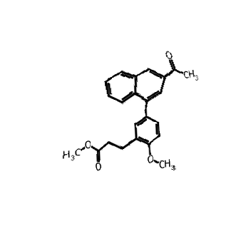 COC(=O)CCc1cc(-c2cc(C(C)=O)cc3ccccc23)ccc1OC